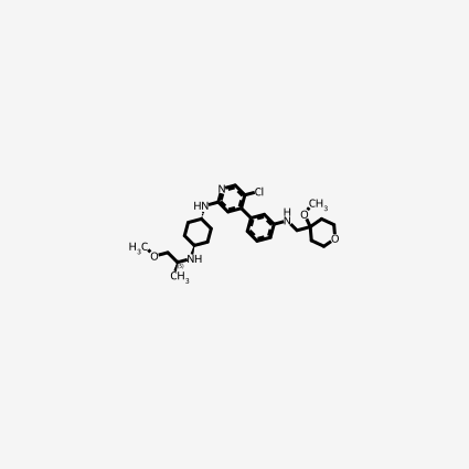 COC[C@H](C)N[C@H]1CC[C@H](Nc2cc(-c3cccc(NCC4(OC)CCOCC4)c3)c(Cl)cn2)CC1